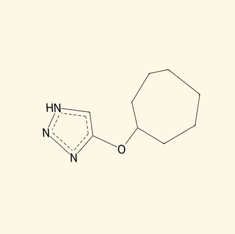 c1[nH]nnc1OC1CCCCCC1